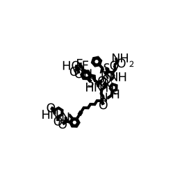 NC(=O)OCC(NC(=O)[C@@H]1CC[C@@H]2CCN(C(=O)CCCCCC#Cc3cccc4c3CN(C3CCC(=O)NC3=O)C4=O)C[C@H](NC(=O)c3cc4cc(C(F)(F)P(=O)(O)O)ccc4s3)C(=O)N21)c1ncc(-c2ccccc2)s1